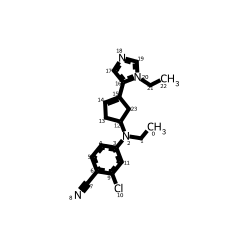 CCN(c1ccc(C#N)c(Cl)c1)C1CC=C(c2cncn2CC)C1